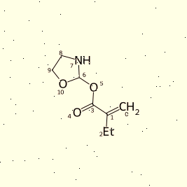 C=C(CC)C(=O)OC1NCCO1